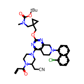 C=CC(=O)N1CCN(c2nc(OCC3(CN(C)C(=O)OC(C)(C)C)CC3)nc3c2CCN(c2cccc4cccc(Cl)c24)C3)CC1CC#N